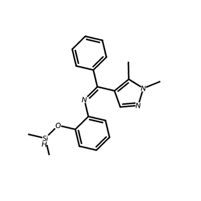 Cc1c(C(=Nc2ccccc2O[SiH](C)C)c2ccccc2)cnn1C